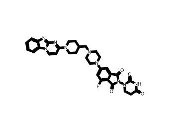 O=C1CCN(N2C(=O)c3cc(N4CCN(CC5CCN(c6ccn7c(n6)nc6ccccc67)CC5)CC4)cc(F)c3C2=O)C(=O)N1